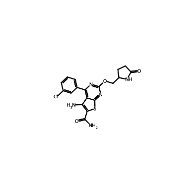 NC(=O)c1sc2nc(OCC3CCC(=O)N3)nc(-c3cccc(Cl)c3)c2c1N